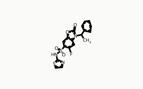 CC(c1ccccc1)n1c(=O)oc2cc(S(=O)(=O)Nc3nccs3)c(F)cc21